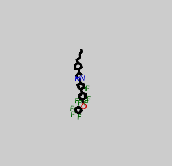 C/C=C/CCC1CCC(c2cnc(-c3ccc(-c4cc(F)c(C(F)(F)Oc5cc(F)c(F)c(F)c5)c(F)c4)c(F)c3)nc2)CC1